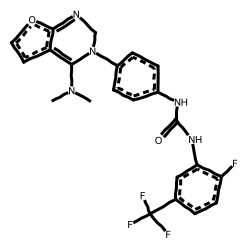 CN(C)C1=c2ccoc2=NCN1c1ccc(NC(=O)Nc2cc(C(F)(F)F)ccc2F)cc1